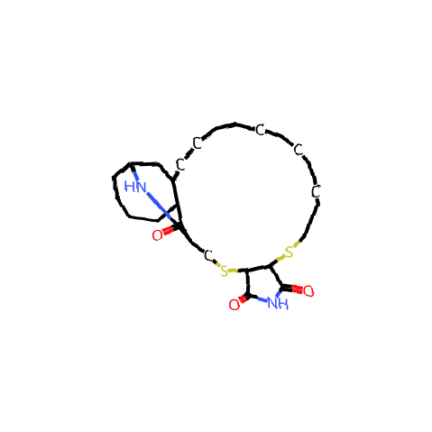 O=C1C2CSC3C(=O)NC(=O)C3SCCCCCCCCCCCC3CC(CCCCC13)N2